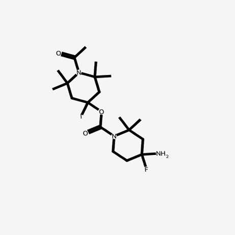 CC(=O)N1C(C)(C)CC(I)(OC(=O)N2CCC(N)(F)CC2(C)C)CC1(C)C